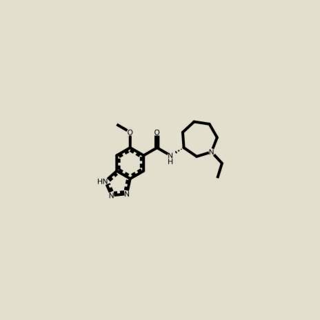 CCN1CCCC[C@@H](NC(=O)c2cc3nn[nH]c3cc2OC)C1